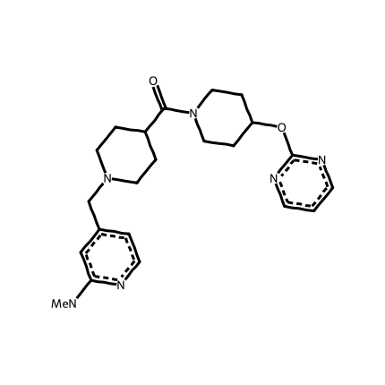 CNc1cc(CN2CCC(C(=O)N3CCC(Oc4ncccn4)CC3)CC2)ccn1